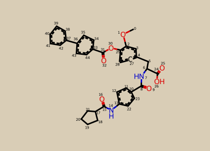 COc1cc(CC(NC(=O)c2ccc(NC(=O)C3CCCC3)cc2)C(=O)O)ccc1OC(=O)c1ccc(-c2ccccc2)cc1